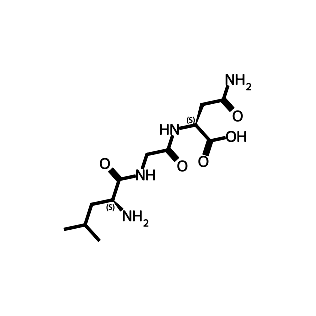 CC(C)C[C@H](N)C(=O)NCC(=O)N[C@@H](CC(N)=O)C(=O)O